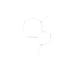 CC1CC(=O)N2CSC(=O)C2CS1